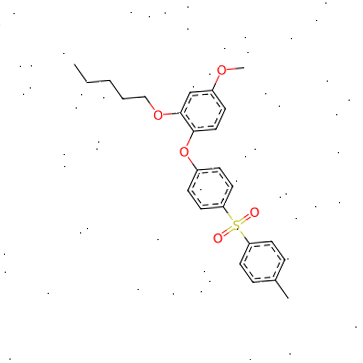 CCCCCOc1cc(OC)ccc1Oc1ccc(S(=O)(=O)c2ccc(C)cc2)cc1